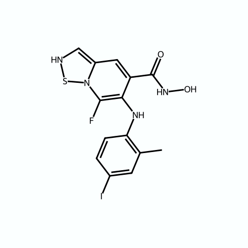 Cc1cc(I)ccc1NC1=C(F)N2SNC=C2C=C1C(=O)NO